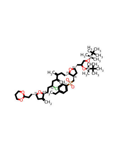 C=C(CC[C@@H]1O[C@H](CC(CO[Si](C)(C)C(C)(C)C)O[Si](C)(C)C(C)(C)C)C[C@H]1CS(=O)(=O)c1ccc(CC)cc1)C(=C)C[C@@H](Cl)CC[C@@H]1O[C@@H](CCC2OCCCO2)CC1=C